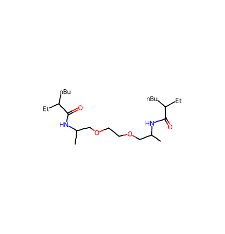 CCCCC(CC)C(=O)NC(C)COCCOCC(C)NC(=O)C(CC)CCCC